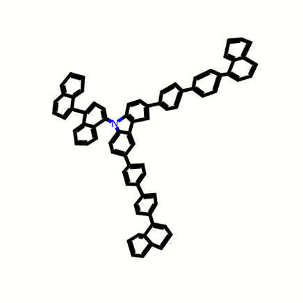 c1ccc2c(-c3ccc(-c4ccc(-c5ccc6c(c5)c5cc(-c7ccc(-c8ccc(-c9cccc%10ccccc9%10)cc8)cc7)ccc5n6-c5ccc(-c6cccc7ccccc67)c6ccccc56)cc4)cc3)cccc2c1